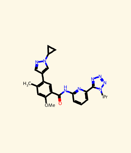 COc1cc(C)c(-c2cnn(C3CC3)c2)cc1C(=O)Nc1cccc(-c2nnnn2C(C)C)n1